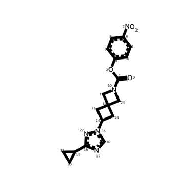 O=C(Oc1ccc([N+](=O)[O-])cc1)N1CC2(CC(n3cnc(C4CC4)n3)C2)C1